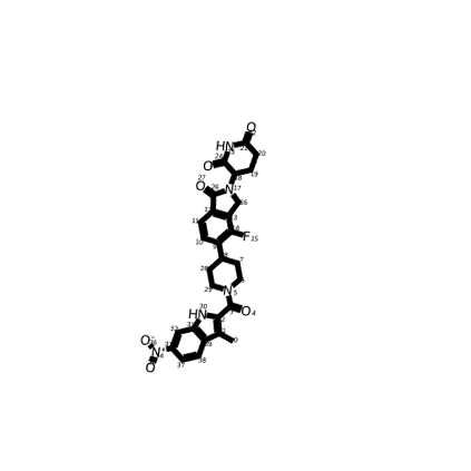 Cc1c(C(=O)N2CCC(c3ccc4c(c3F)CN(C3CCC(=O)NC3=O)C4=O)CC2)[nH]c2cc([N+](=O)[O-])ccc12